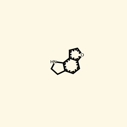 c1cc2c3c(ccc2o1)CCN3